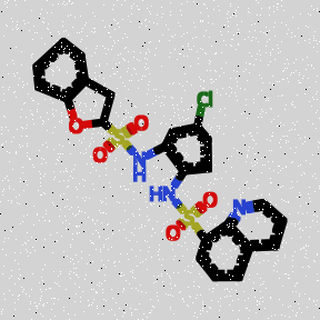 O=S(=O)(Nc1ccc(Cl)cc1NS(=O)(=O)C1Cc2ccccc2O1)c1cccc2cccnc12